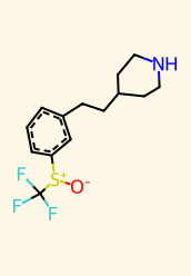 [O-][S+](c1cccc(CCC2CCNCC2)c1)C(F)(F)F